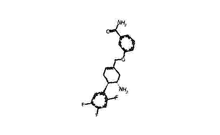 NC(=O)c1cccc(OCC2=CC[C@H](c3cc(F)c(F)cc3F)[C@@H](N)C2)c1